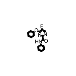 O=C(Nc1ccccc1)c1ncc(F)c(Oc2ccccc2)n1